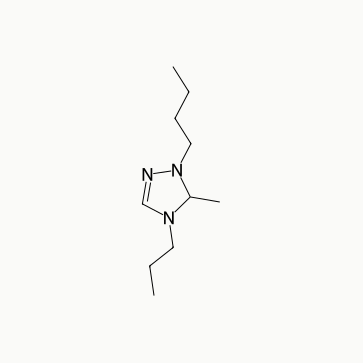 CCCCN1N=CN(CCC)C1C